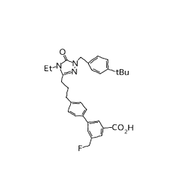 CCn1c(CCCc2ccc(-c3cc(CF)cc(C(=O)O)c3)cc2)nn(Cc2ccc(C(C)(C)C)cc2)c1=O